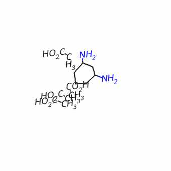 CC(=O)O.CC(=O)O.CC(=O)O.CC(=O)O.NC1CCCC(N)C1